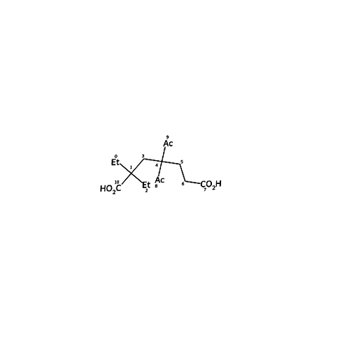 CCC(CC)(CC(CCC(=O)O)(C(C)=O)C(C)=O)C(=O)O